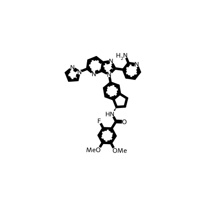 COc1cc(F)c(C(=O)N[C@H]2CCc3cc(-n4c(-c5cccnc5N)nc5ccc(-n6cccn6)nc54)ccc32)cc1OC